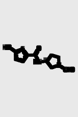 O=CN1CC[C@@H](NC(=O)c2ccc(O)s2)C1